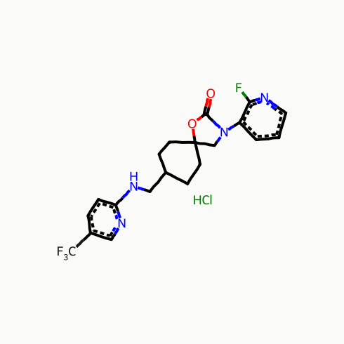 Cl.O=C1OC2(CCC(CNc3ccc(C(F)(F)F)cn3)CC2)CN1c1cccnc1F